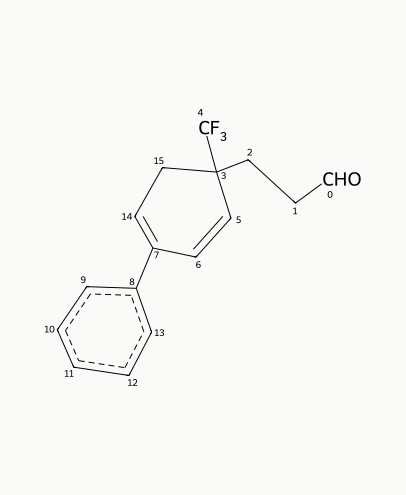 O=CCCC1(C(F)(F)F)C=CC(c2ccccc2)=CC1